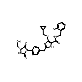 O=C(NCc1ccccc1F)c1[nH]c(Cc2ccc(N3C(=O)N[C@@H](CO)C3=O)cc2)nc1NCC1CC1